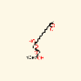 CCCCCCCCCC[C@H](O)[C@H]1CC[C@H]([C@H]2CC[C@H]([C@H](O)CCCCCCCCCCC3=C[C@H](C)OC3=O)O2)O1